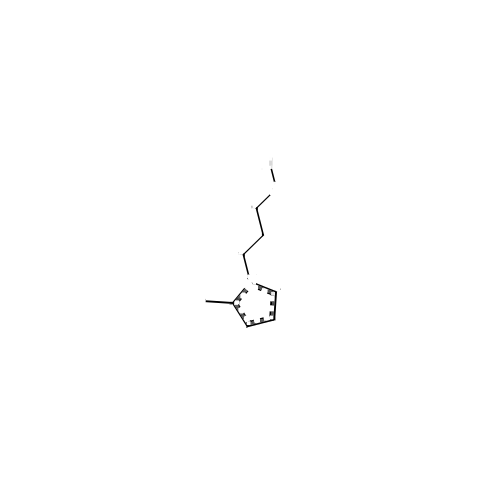 Cc1cccn1CCCOC(C)C